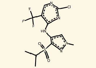 CC(C)S(=O)(=O)c1nn(C)cc1Nc1nc(Cl)ncc1C(F)(F)F